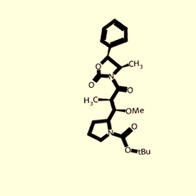 CO[C@@H](C1CCCN1C(=O)OC(C)(C)C)[C@@H](C)C(=O)N1C(=O)O[C@@H](c2ccccc2)[C@H]1C